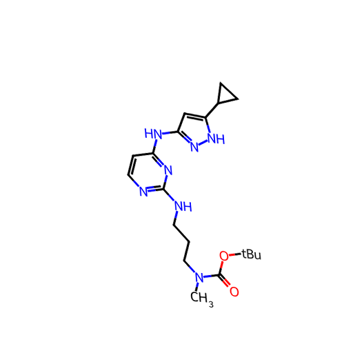 CN(CCCNc1nccc(Nc2cc(C3CC3)[nH]n2)n1)C(=O)OC(C)(C)C